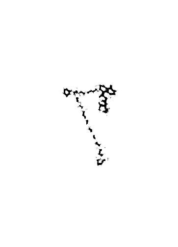 CC[C@@]1(O)C(=O)OCc2c1cc1n(c2=O)Cc2c-1nc1cc(F)c(C)c3c1c2[C@@H](NC(=O)CCCNC(=O)CNC(=O)[C@H](Cc1ccccc1)NC(=O)CNC(=O)CNC(=O)CCOCCOCCOCCOCCNC(=O)CCN1C(=O)C=CC1=O)CC3